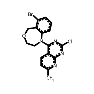 FC(F)(F)c1ccc2c(N3CCOCc4c(Br)cccc43)nc(Cl)nc2n1